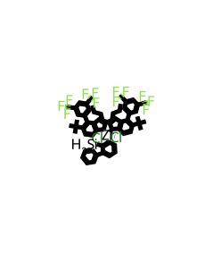 CCCCC1=Cc2c(ccc(C(C)(C)C)c2-c2cc(C(F)(F)F)cc(C(F)(F)F)c2)[CH]1[Zr]([Cl])([Cl])([c]1cccc2c1[SiH2]c1ccccc1-2)[CH]1C(CCCC)=Cc2c1ccc(C(C)(C)C)c2-c1cc(C(F)(F)F)cc(C(F)(F)F)c1